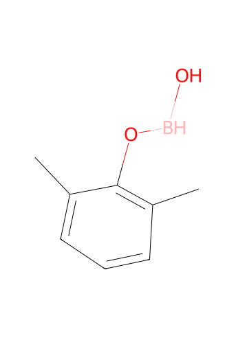 Cc1cccc(C)c1OBO